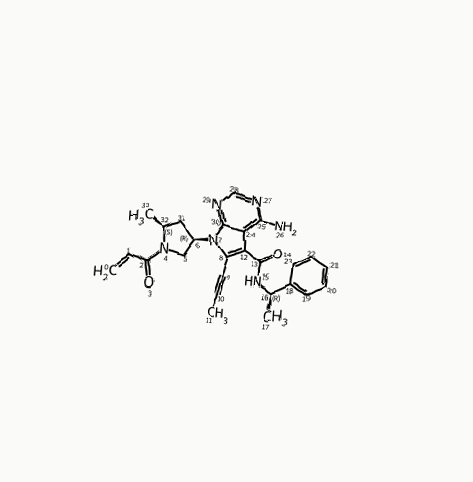 C=CC(=O)N1C[C@H](n2c(C#CC)c(C(=O)N[C@H](C)c3ccccc3)c3c(N)ncnc32)C[C@@H]1C